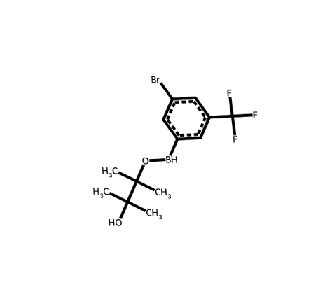 CC(C)(O)C(C)(C)OBc1cc(Br)cc(C(F)(F)F)c1